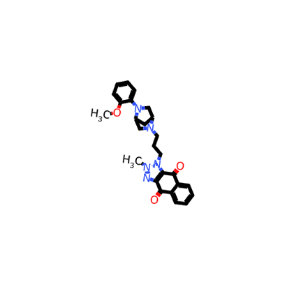 COc1ccccc1N1CC2CC1CN2CCCn1c2c(n[n+]1C)C(=O)c1ccccc1C2=O